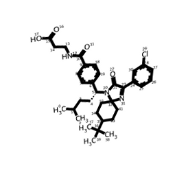 CC(C)CC[C@H](c1ccc(C(=O)NCCC(=O)O)cc1)N1C(=O)C(c2cccc(Cl)c2)=NC12CCC(C(C)(C)C)CC2